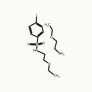 CCOCCN.CCOCCNS(=O)(=O)c1ccc(I)cc1